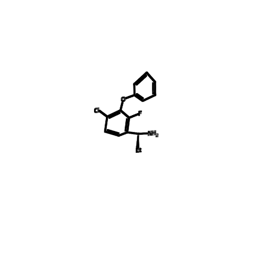 CC[C@H](N)c1ccc(Cl)c(Oc2ccccc2)c1F